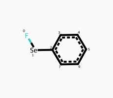 F[Se]c1ccccc1